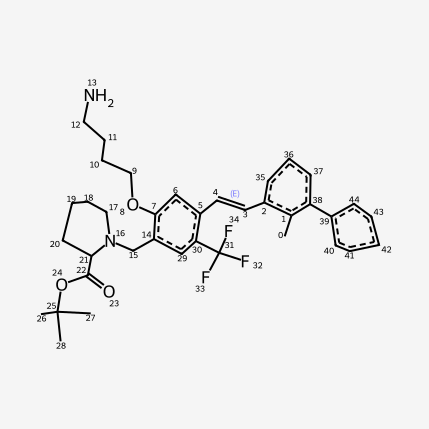 Cc1c(/C=C/c2cc(OCCCCN)c(CN3CCCCC3C(=O)OC(C)(C)C)cc2C(F)(F)F)cccc1-c1ccccc1